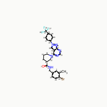 Cc1cc(CNC(=O)[C@H]2CCCN(c3ncnc4nn(-c5ccc(C(F)(F)F)cc5)cc34)C2)ccc1Br